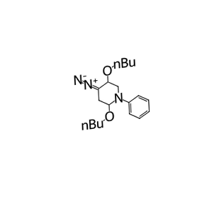 CCCCOC1CN(c2ccccc2)C(OCCCC)CC1=[N+]=[N-]